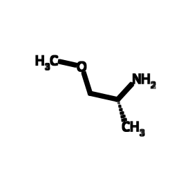 COC[C@@H](C)N